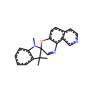 CN1c2ccccc2C(C)(C)C12C=Nc1c(ccc3ccncc13)O2